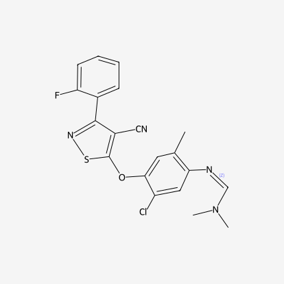 Cc1cc(Oc2snc(-c3ccccc3F)c2C#N)c(Cl)cc1/N=C\N(C)C